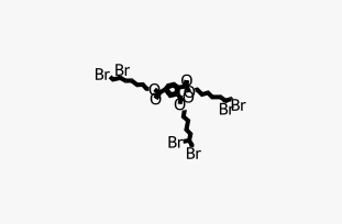 O=C(OCCCCCC(Br)CBr)c1ccc(C(=O)OCCCCCC(Br)CBr)c(C(=O)OCCCCCC(Br)CBr)c1